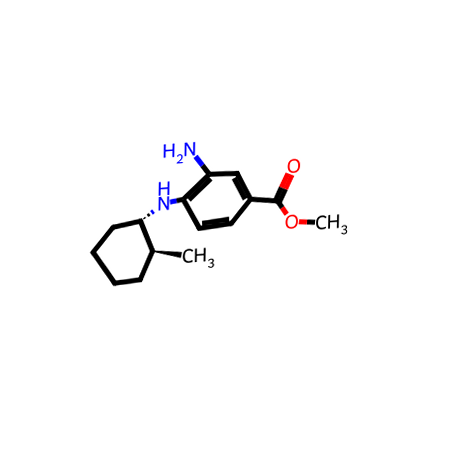 COC(=O)c1ccc(N[C@H]2CCCC[C@@H]2C)c(N)c1